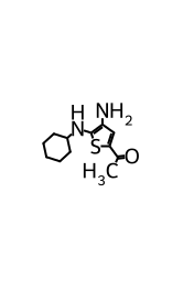 CC(=O)c1cc(N)c(NC2CCCCC2)s1